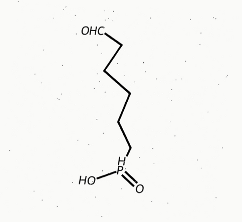 O=CCCCCC[PH](=O)O